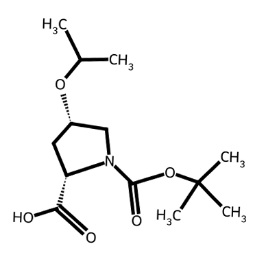 CC(C)O[C@H]1C[C@@H](C(=O)O)N(C(=O)OC(C)(C)C)C1